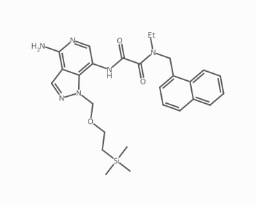 CCN(Cc1cccc2ccccc12)C(=O)C(=O)Nc1cnc(N)c2cnn(COCC[Si](C)(C)C)c12